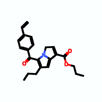 C=Cc1ccc(C(=O)c2c(CCC)cc3n2CC=C3C(=O)OCCC)cc1